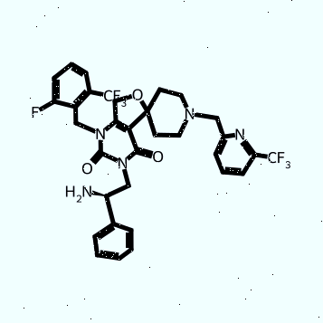 N[C@@H](Cn1c(=O)c2c(n(Cc3c(F)cccc3C(F)(F)F)c1=O)COC21CCN(Cc2cccc(C(F)(F)F)n2)CC1)c1ccccc1